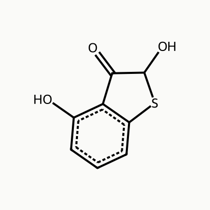 O=C1c2c(O)cccc2SC1O